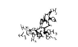 CN1CC(=O)N(CC(NC(=O)OC(C)(C)C)C(C)(C)C)C1=O